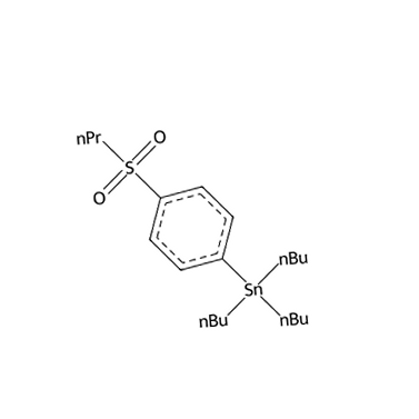 CCC[CH2][Sn]([CH2]CCC)([CH2]CCC)[c]1ccc(S(=O)(=O)CCC)cc1